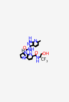 Cc1ccc2c(NC(=O)N3C4=C(C=CC(C(=O)N[C@H](CO)C(F)(F)F)N4)N4CC[C@H]3C4)n[nH]c2n1